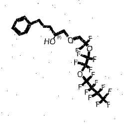 O[C@H](CCCc1ccccc1)COCC(F)(F)OC(F)(F)C(F)(F)OC(F)(F)C(F)(F)C(F)(F)C(F)(F)F